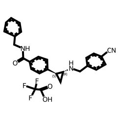 N#Cc1ccc(CN[C@@H]2C[C@H]2c2ccc(C(=O)NCc3ccccc3)cc2)cc1.O=C(O)C(F)(F)F